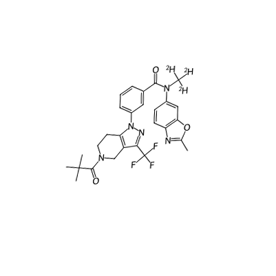 [2H]C([2H])([2H])N(C(=O)c1cccc(-n2nc(C(F)(F)F)c3c2CCN(C(=O)C(C)(C)C)C3)c1)c1ccc2nc(C)oc2c1